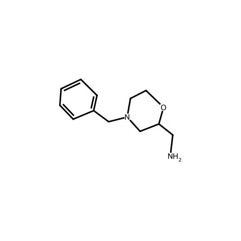 NCC1CN(Cc2ccccc2)CCO1